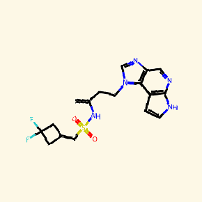 C=C(CCn1cnc2cnc3[nH]ccc3c21)NS(=O)(=O)CC1CC(F)(F)C1